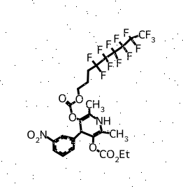 CCOC(=O)OC1=C(C)NC(C)=C(OC(=O)OCCCC(F)(F)C(F)(F)C(F)(F)C(F)(F)C(F)(F)C(F)(F)F)C1c1cccc([N+](=O)[O-])c1